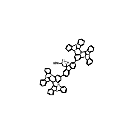 CCCCC(CC)CC1(C)c2cc(-c3cc4c5c(c3)-n3c6ccccc6n6c7ccccc7c(c36)B5c3c5ccccc5n5c6ccccc6n-4c35)ccc2-c2ccc(-c3cc4c5c(c3)-n3c6ccccc6n6c7ccccc7c(c36)B5c3c5ccccc5n5c6ccccc6n-4c35)cc21